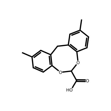 Cc1ccc2c(c1)Cc1cc(C)ccc1OC(C(=O)O)O2